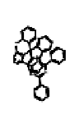 c1ccc(C2=NC(c3ccccc3)NC(c3cccc4c3C3(c5ccccc5O4)c4ccccc4-c4ccccc43)N2)cc1